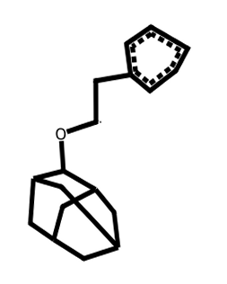 [CH](Cc1ccccc1)OC1C2CC3CC(C2)CC1C3